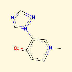 Cn1ccc(=O)c(-n2cncn2)c1